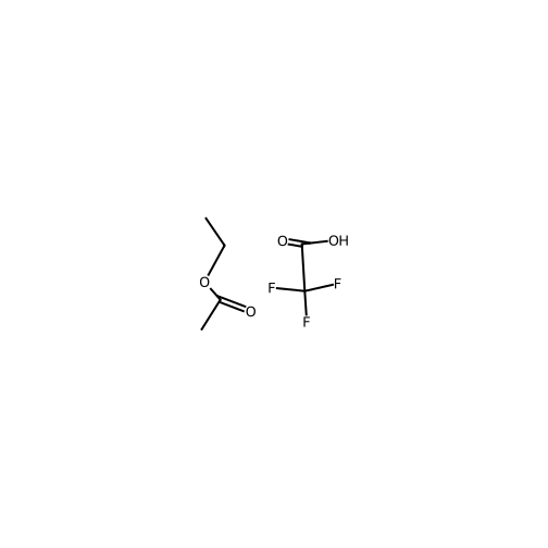 CCOC(C)=O.O=C(O)C(F)(F)F